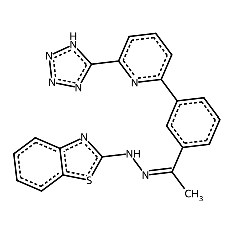 CC(=NNc1nc2ccccc2s1)c1cccc(-c2cccc(-c3nnn[nH]3)n2)c1